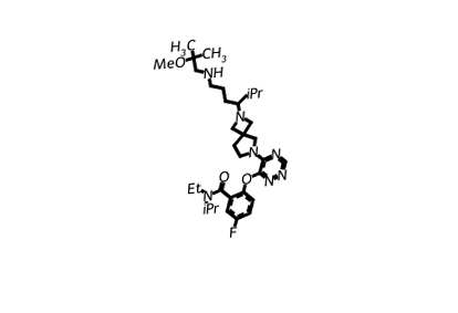 CCN(C(=O)c1cc(F)ccc1Oc1nncnc1N1CCC2(C1)CN(C(CCCNCC(C)(C)OC)C(C)C)C2)C(C)C